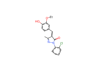 CCOc1cc(C=C2C(=O)N(c3ccccc3Cl)N=C2C)ccc1O